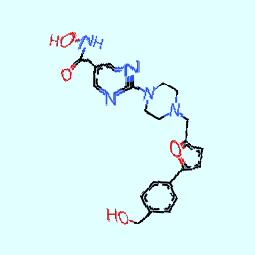 O=C(NO)c1cnc(N2CCN(Cc3ccc(-c4ccc(CO)cc4)o3)CC2)nc1